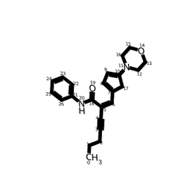 CCCC#C/C(=C/C1=CC=C(N2CCOCC2)C1)C(=O)Nc1ccccc1